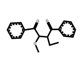 CCC([C](OC)C(=O)c1ccccc1)C(=O)c1ccccc1